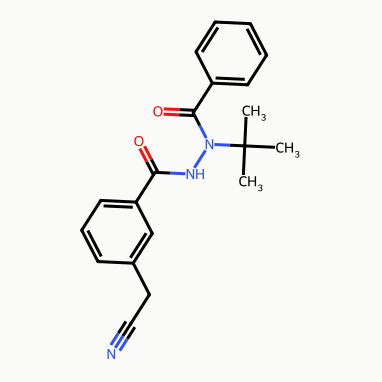 CC(C)(C)N(NC(=O)c1cccc(CC#N)c1)C(=O)c1ccccc1